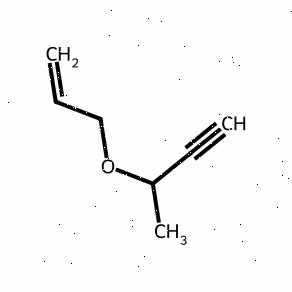 C#CC(C)OCC=C